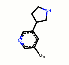 FC(F)(F)c1cncc(C2CCNC2)c1